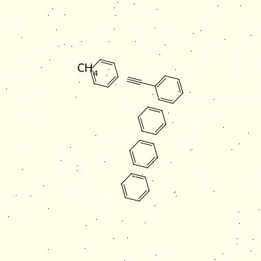 C.C#Cc1ccccc1.c1ccccc1.c1ccccc1.c1ccccc1.c1ccccc1